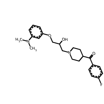 CN(C)c1cccc(OCC(O)CN2CCC(C(=O)c3ccc(F)cc3)CC2)c1